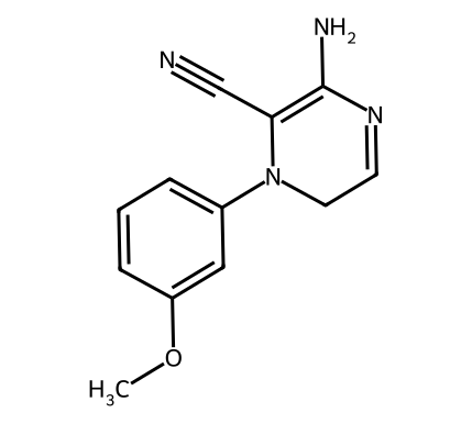 COc1cccc(N2CC=NC(N)=C2C#N)c1